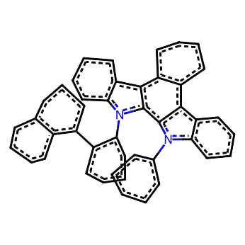 c1ccc(-n2c3ccccc3c3c4ccccc4c4c5ccccc5n(-c5ccccc5-c5cccc6ccccc56)c4c32)cc1